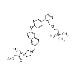 CC(=O)OCC(=O)N(C)[C@@H]1CCN(Cc2ccc3cc(Oc4ccc(-c5ccnn5COCC[Si](C)(C)C)cn4)ccc3n2)C1